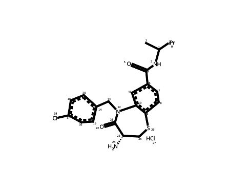 CC(C)C(C)NC(=O)c1ccc2c(c1)N(Cc1ccc(Cl)cc1)C(=O)[C@@H](N)CS2.Cl